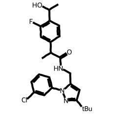 CC(O)c1ccc(C(C)C(=O)NCc2cc(C(C)(C)C)nn2-c2cccc(Cl)c2)cc1F